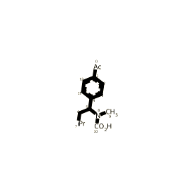 CC(=O)c1ccc(C(CC(C)C)N(C)C(=O)O)cc1